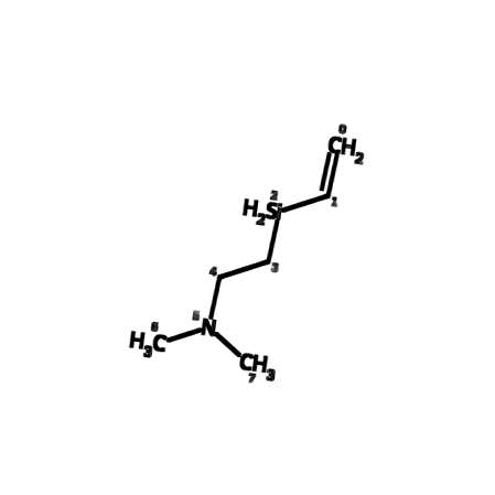 C=C[SiH2]CCN(C)C